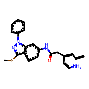 C=C/C=C(\C=C/N)CC(=O)Nc1ccc2c(SC)nn(-c3ccccc3)c2c1